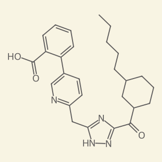 CCCCCC1CCCC(C(=O)c2n[nH]c(Cc3ccc(-c4ccccc4C(=O)O)cn3)n2)C1